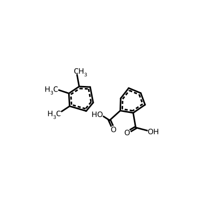 Cc1cccc(C)c1C.O=C(O)c1ccccc1C(=O)O